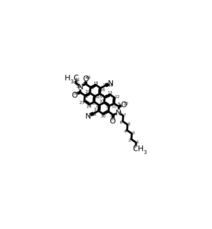 CCCCCCCCN1C(=O)c2ccc3c4c(C#N)cc5c6c(ccc(c7c(C#N)cc(c2c37)C1=O)c64)C(=O)N(CC)C5=O